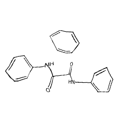 O=C(Nc1ccccc1)C(=O)Nc1ccccc1.c1ccccc1